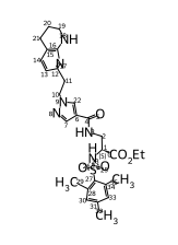 CCOC(=O)[C@H](CNC(=O)c1cnn(CCc2ccc3c(n2)NCCC3)c1)NS(=O)(=O)c1c(C)cc(C)cc1C